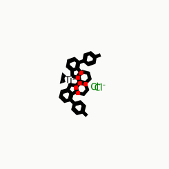 Cc1ccc(-c2cccc3c2C=C(C2CCCCC2)[CH]3[Ti+2]2([CH]3C(C4CCCCC4)=Cc4c(-c5ccc(C)cc5)cccc43)[CH2][CH2]2)cc1.[Cl-].[Cl-]